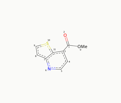 COC(=O)c1ccnc2ccsc12